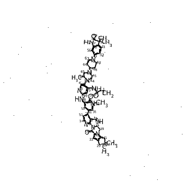 C=CC(=O)Nc1cc(Nc2cc(-c3ccnc(N4CCn5c(cc6c5CC(C)(C)C6)C4=O)c3CO)cn(C)c2=O)ncc1N1CCN(C2CCN(c3ccc4c(c3)NC(=O)C4(C)C)CC2)C[C@@H]1C